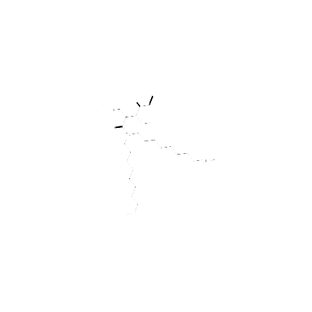 C=CC(=O)C(CO)C(CC(=O)O)C(=O)N(CCCCCCCCCCCCCCCCCC)CCCCCCCCCCCCCCCCCC